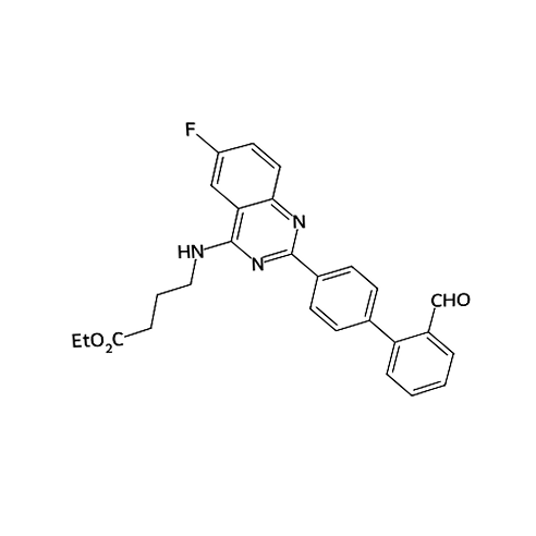 CCOC(=O)CCCNc1nc(-c2ccc(-c3ccccc3C=O)cc2)nc2ccc(F)cc12